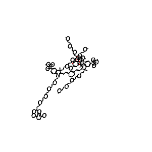 COCCOCCOCCOCC[N+]1=C(/C=C/C2=C(Oc3ccc(S(=O)(=O)OC)cc3)C(=C/C=C3/N(CCOCCOCCOCCOCCC(=O)ON4C(=O)CCC4=O)c4ccc(S(=O)(=O)OC)cc4C3(C)CCOCCOCCOCCOC)/CCC2)C(C)(CCOCCOCCOCCOC)c2cc(S(=O)(=O)OC)ccc21